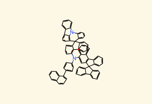 c1ccc2c(c1)-c1ccccc1C21c2ccccc2-c2c1cc(N(c1ccc(-c3cccc4ccccc34)cc1)c1cccc3c1-c1ccccc1C31c3ccccc3-n3c4ccccc4c4cccc1c43)c1ccccc21